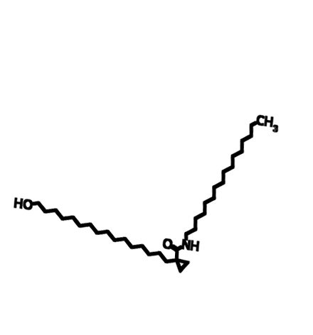 CCCCCCCCCCCCCCCCNC(=O)C1(CCCCCCCCCCCCCCCCO)CC1